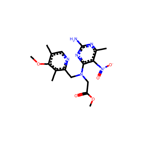 COC(=O)CN(Cc1ncc(C)c(OC)c1C)c1nc(N)nc(C)c1[N+](=O)[O-]